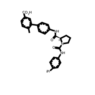 Cc1ccc(C(=O)O)cc1-c1ccc(NC(=O)[C@H]2CCCN2C(=O)Nc2ccc(C(C)C)cc2)cc1